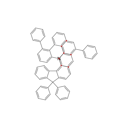 c1ccc(-c2cccc(N(c3cccc(-c4ccccc4)c3-c3ccccc3-c3ccccc3)c3cccc4c3-c3ccccc3C4(c3ccccc3)c3ccccc3)c2)cc1